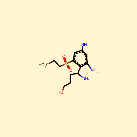 Nc1cc(N)c(C(N)CCCO)c(S(=O)(=O)CCC(=O)O)c1